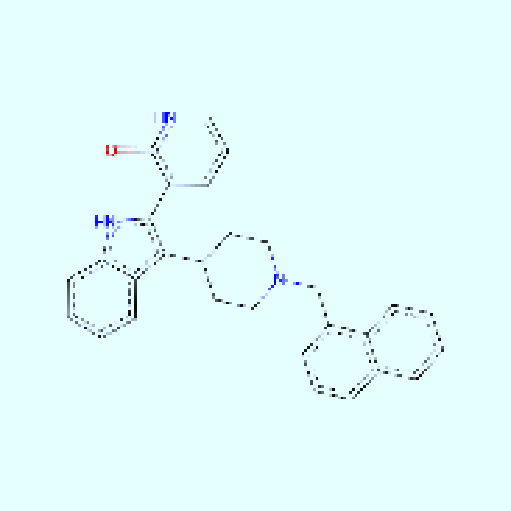 O=c1[nH]cccc1-c1[nH]c2ccccc2c1C1CCN(Cc2cccc3ccccc23)CC1